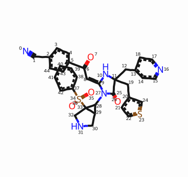 N#Cc1ccc(C(=O)C=C2NC(Cc3ccncc3)(Cc3ccsc3)C(=O)N2C2C3CNCC32S(=O)(=O)c2ccccc2)cc1